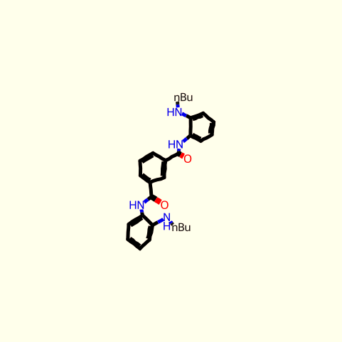 CCCCNc1ccccc1NC(=O)c1cccc(C(=O)Nc2ccccc2NCCCC)c1